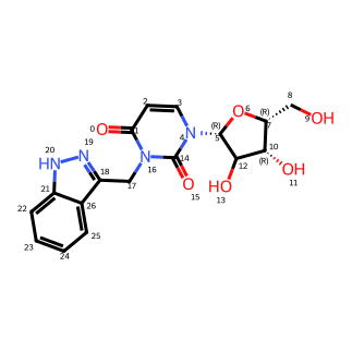 O=c1ccn([C@@H]2O[C@H](CO)[C@H](O)C2O)c(=O)n1Cc1n[nH]c2ccccc12